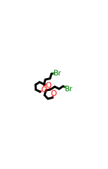 BrCCCC1(OC2(CCCBr)CCCCO2)CCCCO1